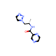 C[C@@H](Cn1ccnn1)NC(=O)c1cnccn1